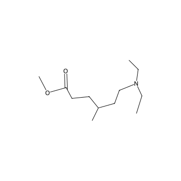 CCN(CC)CCC(C)CCC(=O)OC